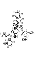 C=CCN(CC(=O)O)C(=O)[C@H](CC(=O)N[C@H](C=NN)C1CCCNC1)NS(=O)(=O)c1ccc2ccccc2c1